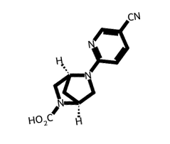 N#Cc1ccc(N2C[C@@H]3C[C@H]2CN3C(=O)O)nc1